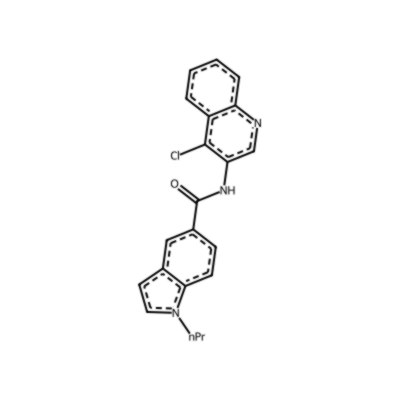 CCCn1ccc2cc(C(=O)Nc3cnc4ccccc4c3Cl)ccc21